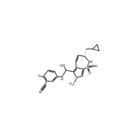 Cn1cc2c(c1C(O)Nc1ccc(F)c(C#N)c1)C=C[C@H](CC1CC1)NS2(=N)=O